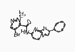 Cn1ncc(Br)c1C(=O)Nc1ccn2cc(-c3ccccc3)nc2n1